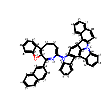 C1=C(n2c3ccccc3c3c4c5ccccc5n5c6ccc7ccccc7c6c(cc32)c45)\N=C(\c2ccc3ccccc3c2)c2oc3ccccc3c2CC/1